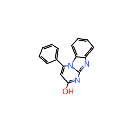 Oc1cc(-c2ccccc2)n2c(n1)nc1ccccc12